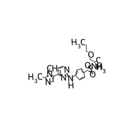 CCCOCC(C)NS(=O)(=O)c1ccc(Nc2nccc(-c3cnc(C)n3C)n2)cc1